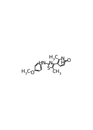 COc1ccc(Nc2nc(-c3ccc(=O)[nH]c3C)c(C)s2)cc1